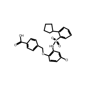 O=C(O)c1ccc(COc2ccc(Cl)cc2NS(=O)(=O)c2ccccc2C2CCCC2)cc1